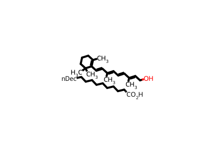 CC1=C(/C=C/C(C)=C/C=C/C(C)=C/CO)C(C)(C)CCC1.CCCCCCCCCCCCCCCCCCCC(=O)O